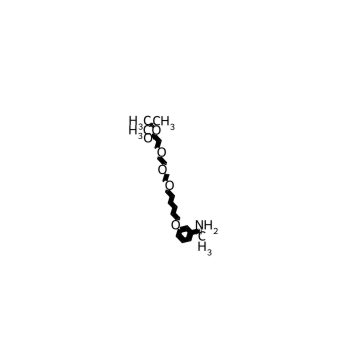 C[C@@H](N)c1cccc(OCCCCCCOCCOCCOCCC(=O)OC(C)(C)C)c1